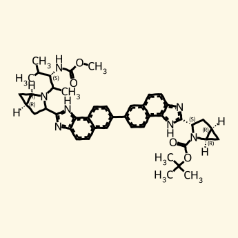 COC(=O)N[C@@H](C(C)C)C(C)N1C(c2nc3ccc4cc(-c5ccc6c(ccc7nc([C@@H]8C[C@H]9C[C@H]9N8C(=O)OC(C)(C)C)[nH]c76)c5)ccc4c3[nH]2)C[C@H]2C[C@H]21